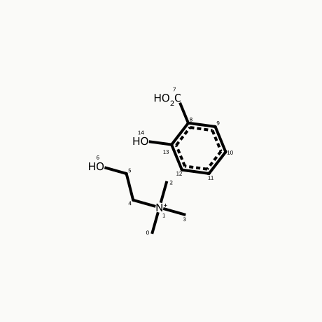 C[N+](C)(C)CCO.O=C(O)c1ccccc1O